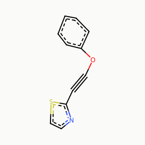 C(#Cc1nccs1)Oc1ccccc1